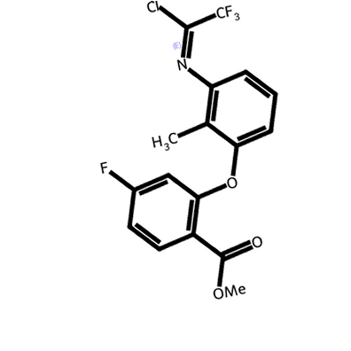 COC(=O)c1ccc(F)cc1Oc1cccc(/N=C(/Cl)C(F)(F)F)c1C